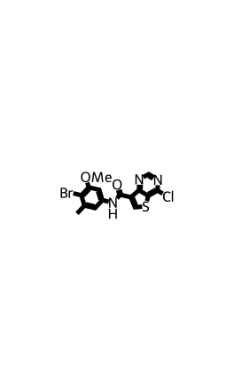 COc1cc(NC(=O)c2csc3c(Cl)ncnc23)cc(C)c1Br